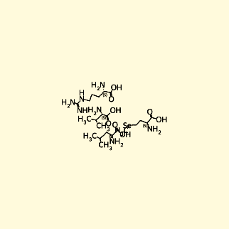 CC(C)C[C@H](N)C(=O)O.CC(C)[C@H](N)C(=O)O.C[Se]CC[C@H](N)C(=O)O.N=C(N)NCCC[C@H](N)C(=O)O